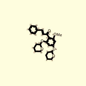 COc1cc(OC2CCCCO2)cc(OC2CCCCO2)c1C(=O)/C=C/c1ccccc1